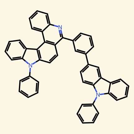 c1ccc(-n2c3ccccc3c3cc(-c4cccc(-c5nc6ccccc6c6c5ccc5c6c6ccccc6n5-c5ccccc5)c4)ccc32)cc1